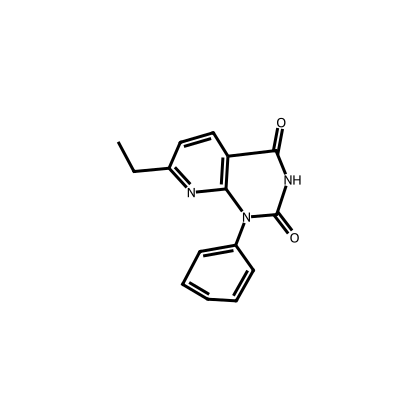 CCc1ccc2c(=O)[nH]c(=O)n(-c3ccccc3)c2n1